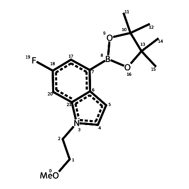 COCCn1ccc2c(B3OC(C)(C)C(C)(C)O3)cc(F)cc21